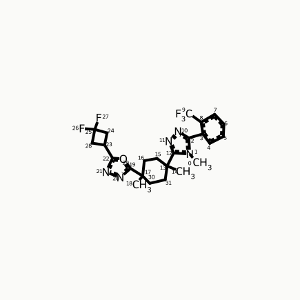 Cn1c(-c2ccccc2C(F)(F)F)nnc1C1(C)CCC(C)(c2nnc(C3CC(F)(F)C3)o2)CC1